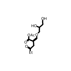 CCC(=O)CC(=COCC(O)CO)C(=O)OC(C)=O